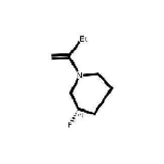 C=C(CC)N1CCC[C@H](F)C1